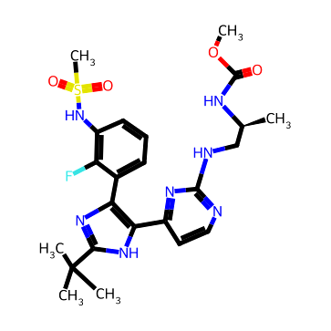 COC(=O)N[C@@H](C)CNc1nccc(-c2[nH]c(C(C)(C)C)nc2-c2cccc(NS(C)(=O)=O)c2F)n1